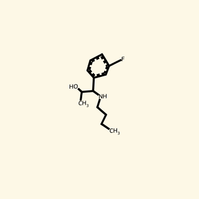 CCCCNC(c1cccc(F)c1)C(C)O